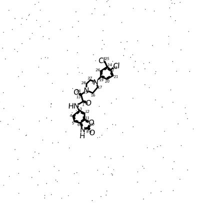 O=C(Nc1ccc2[nH]c(=O)oc2c1)C(=O)N1CCN(c2ccc(Cl)c(Cl)c2)CC1